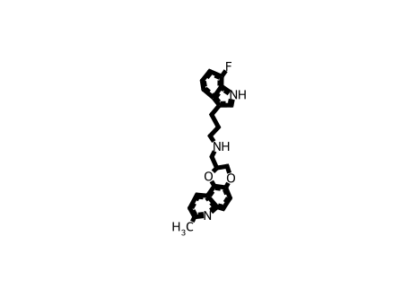 Cc1ccc2c3c(ccc2n1)OCC(CNCCCc1c[nH]c2c(F)cccc12)O3